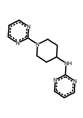 [c]1ccnc(N2CCC(Nc3ncccn3)CC2)n1